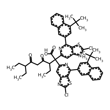 CCC(CC)C(=O)CC(=O)C(CC)C(C(=O)O)(c1cc2nc(Cl)sc2c(-c2cc(C(C)(C)C)c3ccccc3c2)n1)c1cc2nc(Cl)sc2c(-c2cc(C(C)(C)C)c3ccccc3c2)n1